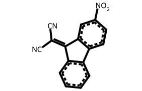 N#CC(C#N)=C1c2ccccc2-c2ccc([N+](=O)[O-])cc21